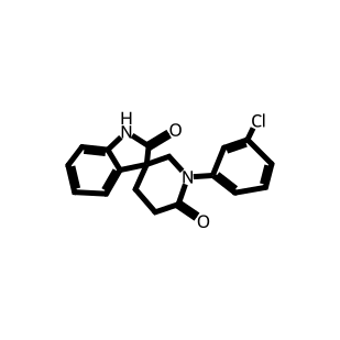 O=C1CCC2(CN1c1cccc(Cl)c1)C(=O)Nc1ccccc12